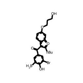 Bc1cc(C(=O)c2c(CCCC)oc3cc(OCCCO)ccc23)cc(Br)c1O